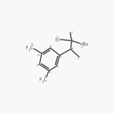 CCCCC(C)(CC)C(C)c1cc(C(F)(F)F)cc(C(F)(F)F)c1